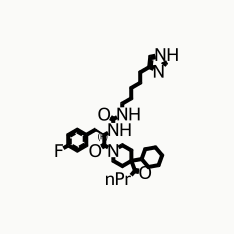 CCCC(=O)C1(C2CCCCC2)CCN(C(=O)[C@@H](Cc2ccc(F)cc2)NC(=O)NCCCCCc2c[nH]cn2)CC1